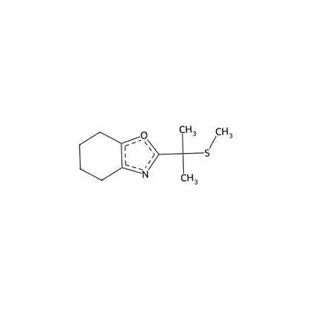 CSC(C)(C)c1nc2c(o1)CCCC2